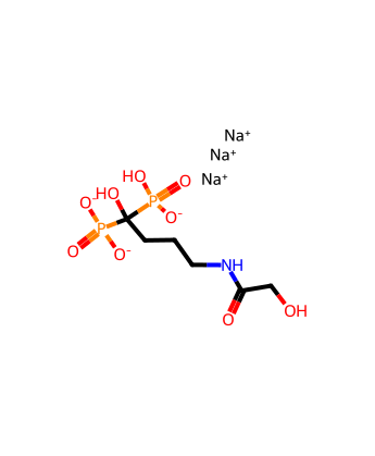 O=C(CO)NCCCC(O)(P(=O)([O-])[O-])P(=O)([O-])O.[Na+].[Na+].[Na+]